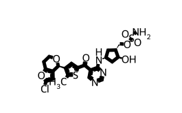 Cc1sc(C(=O)c2cncnc2N[C@@H]2C[C@H](COS(N)(=O)=O)[C@@H](O)C2)cc1[C@@H]1OCCc2oc(Cl)cc21